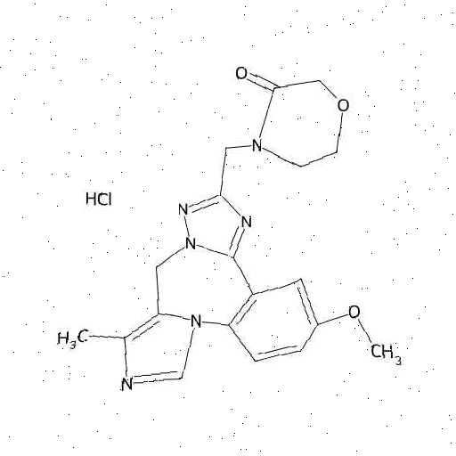 COc1ccc2c(c1)-c1nc(CN3CCOCC3=O)nn1Cc1c(C)ncn1-2.Cl